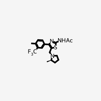 CC(=O)Nc1nc(-c2ccc(C)c(C(F)(F)F)c2)c(CN2CCC[C@H]2C)s1